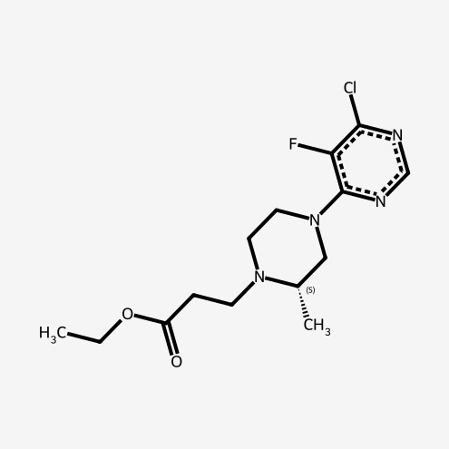 CCOC(=O)CCN1CCN(c2ncnc(Cl)c2F)C[C@@H]1C